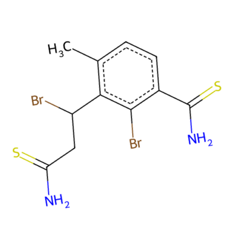 Cc1ccc(C(N)=S)c(Br)c1C(Br)CC(N)=S